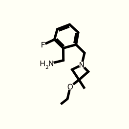 CCOC1(C)CN(Cc2cccc(F)c2CN)C1